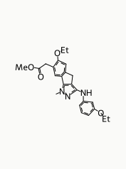 CCOc1cccc(Nc2nn(C)c3c2Cc2cc(OCC)c(CC(=O)OC)cc2-3)c1